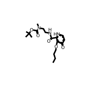 CCCCOc1c(C(=O)NCCN(C)C(=O)OC(C)(C)C)[nH]ccc1=O